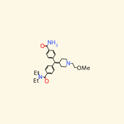 CCN(CC)C(=O)c1ccc(C(=C2CCN(CCOC)CC2)c2ccc(C(N)=O)cc2)cc1